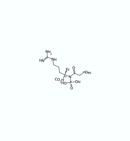 CCCCCCCCCCCC(=O)N([C@@](CC)(CCCNC(=N)N)C(=O)O)P(=O)(O)O